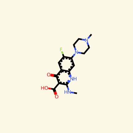 CNc1[nH]c2cc(N3CCN(C)CC3)c(F)cc2c(=O)c1C(=O)O